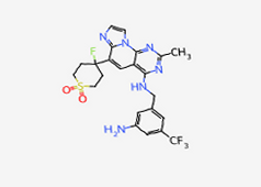 Cc1nc(NCc2cc(N)cc(C(F)(F)F)c2)c2cc(C3(F)CCS(=O)(=O)CC3)c3nccn3c2n1